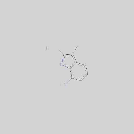 Cc1c(C(=O)O)[nH]c2c(N)cccc12